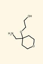 NCC1(OCCO)CCOCC1